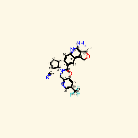 C[C@@H]1OCc2c1c(N)nc1ccc(C(=O)N(Cc3ccc(C(F)(F)F)cn3)[C@H]3CCC[C@H]3C#N)cc21